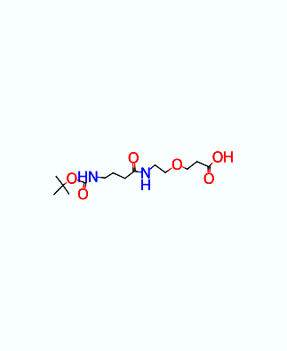 CC(C)(C)OC(=O)NCCCC(=O)NCCOCCC(=O)O